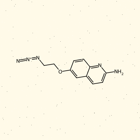 [N-]=[N+]=NCCOc1ccc2nc(N)ccc2c1